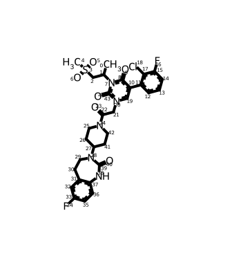 CC(CS(C)(=O)=O)n1c(=O)c(-c2cccc(F)c2Cl)cn(CC(=O)N2CCC(N3CCc4cc(F)ccc4NC3=O)CC2)c1=O